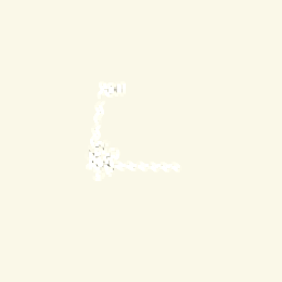 CCCCCCCCCCCCN(C)n1c(=O)c2c(nc(CCCCCCCCCC(C)O)n2C)n(C)c1=O